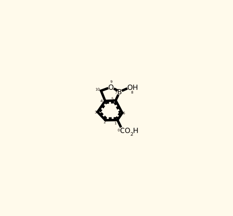 O=C(O)c1ccc2c(c1)B(O)OC2